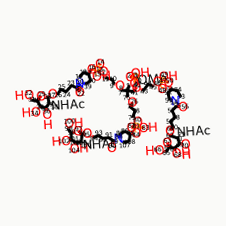 COP(=O)(O)OCC(COCCCOP(=O)(O)OC1CCN(C(=O)CCCCO[C@@H]2OC(CO)[C@H](O)C(O)[C@@H]2NC(C)=O)CC1)(COCCCOP(=O)(O)OC1CCN(C(=O)CCCCO[C@@H]2OC(CO)[C@H](O)C(O)[C@@H]2NC(C)=O)CC1)COCCCOP(=O)(O)OC1CCN(C(=O)CCCCO[C@@H]2OC(CO)[C@H](O)C(O)[C@@H]2NC(C)=O)CC1